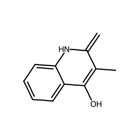 C=C1Nc2ccccc2C(O)=C1C